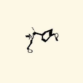 COc1ccc([C@@H](C)N(C)CC=O)cc1